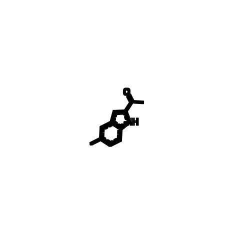 CC(=O)c1cc2cc(C)ccc2[nH]1